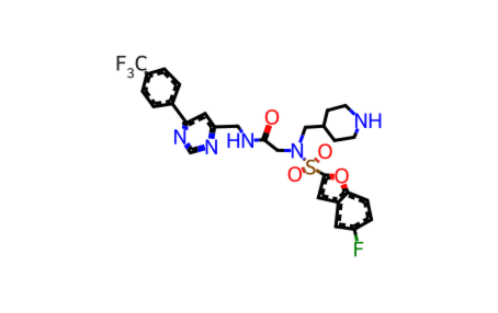 O=C(CN(CC1CCNCC1)S(=O)(=O)c1cc2cc(F)ccc2o1)NCc1cc(-c2ccc(C(F)(F)F)cc2)ncn1